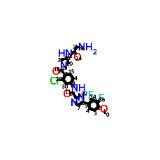 COc1ccc(-c2cnc(C(=O)Nc3ccc(C(=O)N4CC(NC(=O)CN)C4)c(Cl)c3)n2C)c(F)c1F